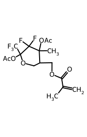 C=C(C)C(=O)OCC1COC(OC(C)=O)(C(F)(F)F)C(F)(F)C1(C)OC(C)=O